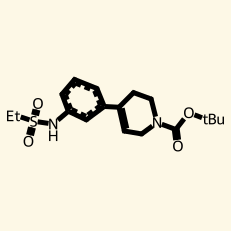 CCS(=O)(=O)Nc1cccc(C2=CCN(C(=O)OC(C)(C)C)CC2)c1